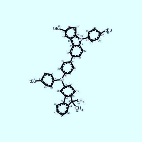 CC(C)(C)c1ccc(N(c2ccc(-c3ccc4c(c3)c3cc(C(C)(C)C)ccc3n4-c3ccc(C(C)(C)C)cc3)cc2)c2ccc3c(c2)-c2ccccc2C3(C)C)cc1